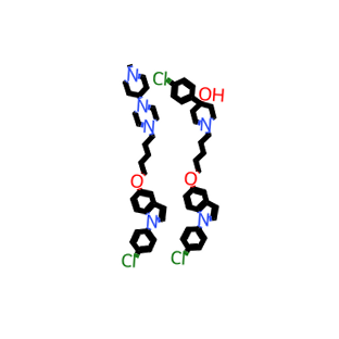 CN1CCC(N2CCN(CCCCCOc3ccc4c(ccn4-c4ccc(Cl)cc4)c3)CC2)CC1.OC1(c2ccc(Cl)cc2)CCN(CCCCCOc2ccc3c(ccn3-c3ccc(Cl)cc3)c2)CC1